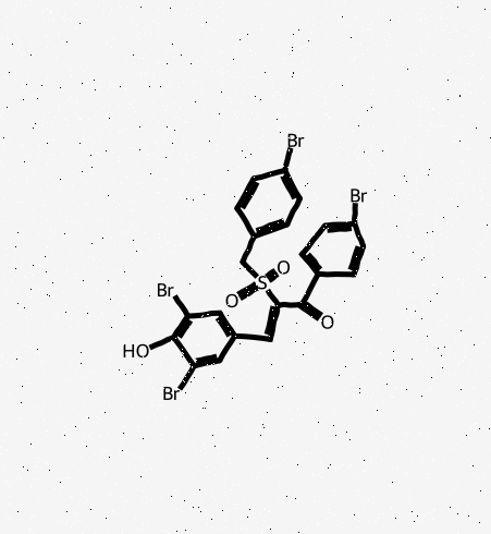 O=C(/C(=C/c1cc(Br)c(O)c(Br)c1)S(=O)(=O)Cc1ccc(Br)cc1)c1ccc(Br)cc1